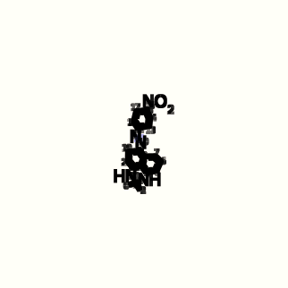 CC1(C)Nc2cccc3c(/N=N/c4ccc([N+](=O)[O-])cc4)ccc(c23)N1